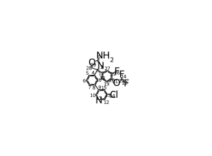 NC1=NC(c2cccc(-c3cncc(Cl)c3)c2)(c2ccc(OC(F)F)c(F)c2)CO1